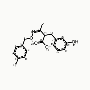 CC(=NOCc1ccc(F)cc1)C(Cc1cccc(O)c1)C(=O)O